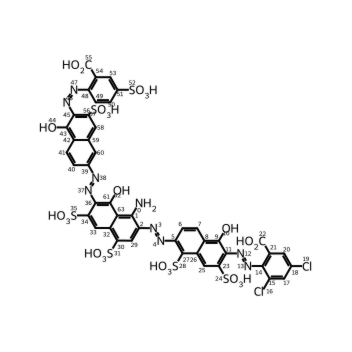 Nc1c(N=Nc2ccc3c(O)c(N=Nc4c(Cl)cc(Cl)cc4C(=O)O)c(S(=O)(=O)O)cc3c2S(=O)(=O)O)cc(S(=O)(=O)O)c2cc(S(=O)(=O)O)c(N=Nc3ccc4c(O)c(/N=N\c5ccc(S(=O)(=O)O)cc5C(=O)O)c(S(=O)(=O)O)cc4c3)c(O)c12